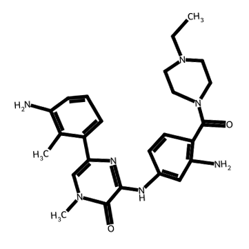 CCN1CCN(C(=O)c2ccc(Nc3nc(-c4cccc(N)c4C)cn(C)c3=O)cc2N)CC1